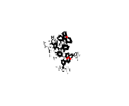 Cc1cc2c3c(c1)N(c1ccc(C(C)(C)C)cc1-c1ccccc1)c1cc4c(cc1B3c1ccc(N3c5ccccc5C5(c6ccccc6)CCCCC35C)cc1N2c1ccc(C(C)(C)C)cc1C)CC(C)(C)C4